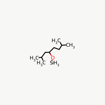 CC(C)CCC(CC(C)C)O[SiH3]